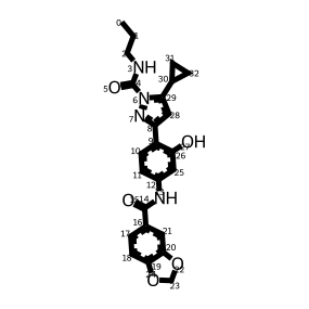 CCCNC(=O)n1nc(-c2ccc(NC(=O)c3ccc4c(c3)OCO4)cc2O)cc1C1CC1